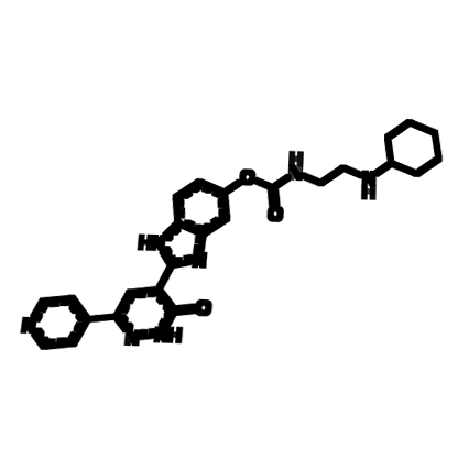 O=C(NCCNC1CCCCC1)Oc1ccc2[nH]c(-c3cc(-c4ccncc4)n[nH]c3=O)nc2c1